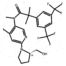 CN(C(=O)C(C)(C)c1cc(C(F)(F)F)cc(C(F)(F)F)c1)c1cnc(N2CCC[C@H]2CO)cc1I